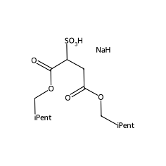 CCCC(C)COC(=O)CC(C(=O)OCC(C)CCC)S(=O)(=O)O.[NaH]